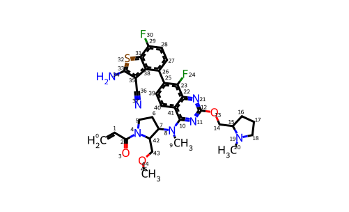 C=CC(=O)N1CCC(N(C)c2nc(OCC3CCCN3C)nc3c(F)c(-c4ccc(F)c5sc(N)c(C#N)c45)ccc23)C1COC